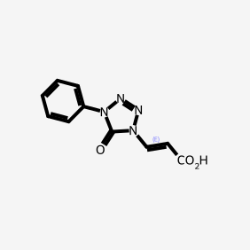 O=C(O)/C=C/n1nnn(-c2ccccc2)c1=O